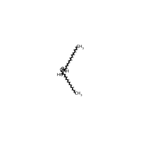 CCCCCCCCCCCCC/C=C/C(O)C(CO)NC(=O)CCCCCCCCCCCCCCCCC